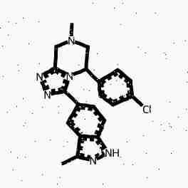 Cc1n[nH]c2ccc(-c3nnc4n3C(c3ccc(Cl)cc3)CN(C)C4)cc12